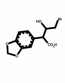 CC(C)CC(O)C(C(=O)O)c1ccc2c(c1)OCO2